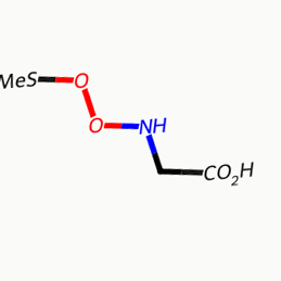 CSOONCC(=O)O